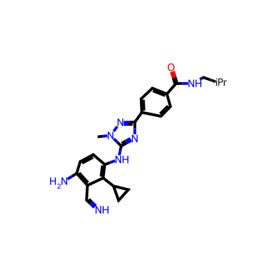 CC(C)CNC(=O)c1ccc(-c2nc(Nc3ccc(N)c(C=N)c3C3CC3)n(C)n2)cc1